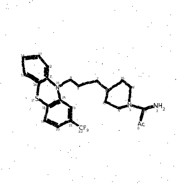 CC(=O)C(N)N1CCC(CCCN2c3ccccc3Sc3ccc(C(F)(F)F)cc32)CC1